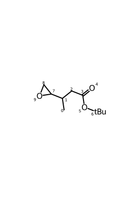 CC(CC(=O)OC(C)(C)C)C1CO1